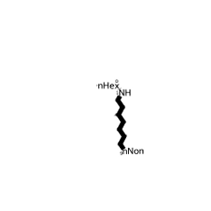 CCCCC[CH]NCCCCCCCCCCCCCCCC